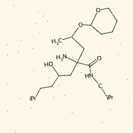 CC(C)CCC(O)CC(N)(CC(C)OC1CCCCO1)C(=O)NCC(C)C